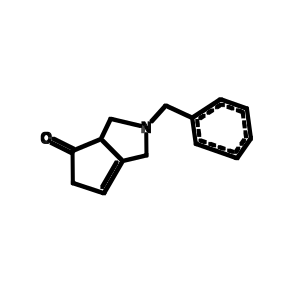 O=C1CC=C2CN(Cc3ccccc3)CC12